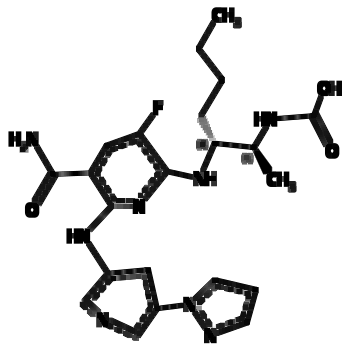 CCCC[C@@H](Nc1nc(Nc2cncc(-n3cccn3)c2)c(C(N)=O)cc1F)[C@H](C)NC(=O)O